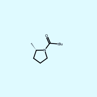 C[C@H]1CCCN1C(=O)C(C)(C)C